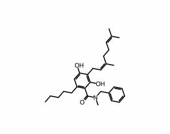 CCCCCc1cc(O)c(CC=C(C)CCC=C(C)C)c(O)c1C(=O)N(C)Cc1ccccc1